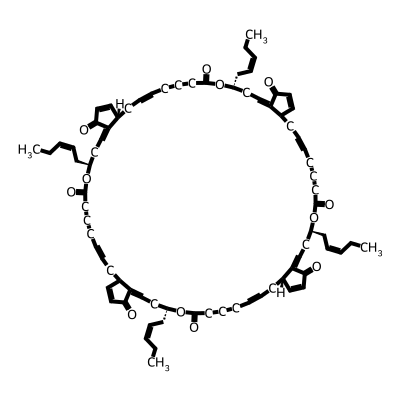 CC/C=C\C[C@@H]1C/C=C2/C(=O)C=CC2C/C=C\CCCC(=O)O[C@@H](C/C=C\CC)C/C=C2/C(=O)C=C[C@@H]2C/C=C\CCCC(=O)O[C@H](C/C=C\CC)C/C=C2/C(=O)C=CC2C/C=C\CCCC(=O)O[C@@H](C/C=C\CC)C/C=C2/C(=O)C=C[C@@H]2C/C=C\CCCC(=O)O1